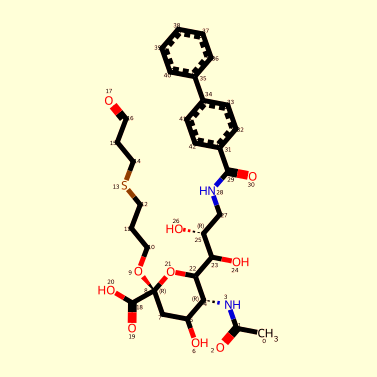 CC(=O)N[C@@H]1C(O)C[C@](OCCCSCCC=O)(C(=O)O)OC1C(O)[C@H](O)CNC(=O)c1ccc(-c2ccccc2)cc1